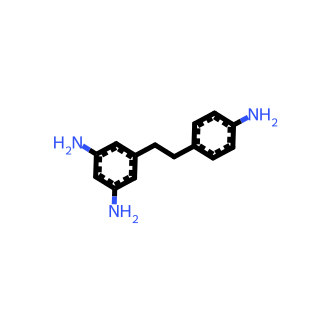 Nc1ccc(CCc2cc(N)cc(N)c2)cc1